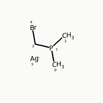 CP(C)CBr.[Ag]